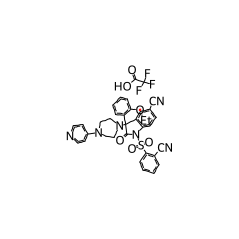 CCOc1ccccc1C1(N2CCN(c3ccncc3)CC2)C(=O)N(S(=O)(=O)c2ccccc2C#N)c2ccc(C#N)cc21.O=C(O)C(F)(F)F